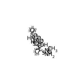 CC(=O)N=C(N)SCc1ccccc1SC1=C(C(=O)O)N2C(=O)[C@@H](NC(=O)Cc3ccccc3)[C@@H]2SC1